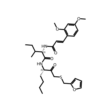 CCCC[C@H](NC(=O)[C@@H](NC(=O)C=Cc1ccc(OC)cc1OC)C(C)CC)C(=O)CSCc1ccco1